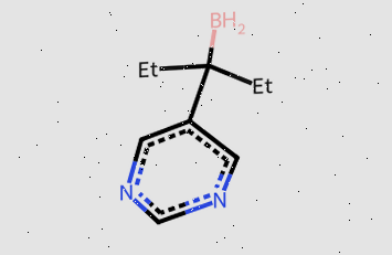 BC(CC)(CC)c1cncnc1